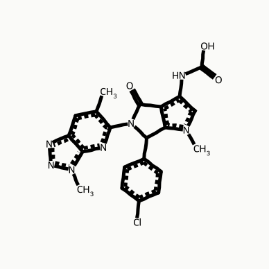 Cc1cc2nnn(C)c2nc1N1C(=O)c2c(NC(=O)O)cn(C)c2C1c1ccc(Cl)cc1